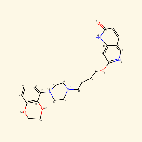 O=c1ccc2cnc(OCCCCN3CCN(c4cccc5c4OCCO5)CC3)cc2[nH]1